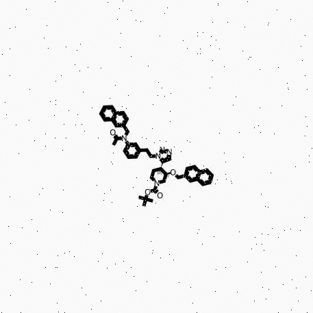 CC(=O)N(Cc1ccc2ccccc2c1)c1cccc(CCn2nncc2[C@H]2CCN(C(=O)OC(C)(C)C)C[C@@H]2OCc2ccc3ccccc3c2)c1